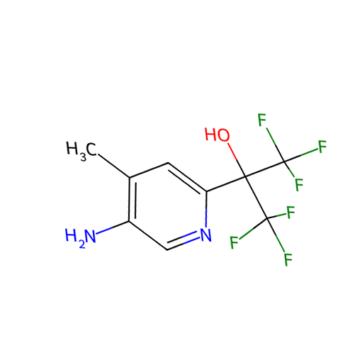 Cc1cc(C(O)(C(F)(F)F)C(F)(F)F)ncc1N